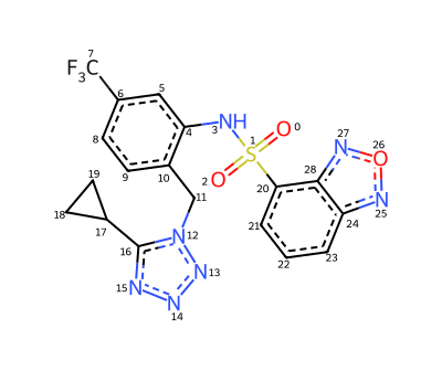 O=S(=O)(Nc1cc(C(F)(F)F)ccc1Cn1nnnc1C1CC1)c1cccc2nonc12